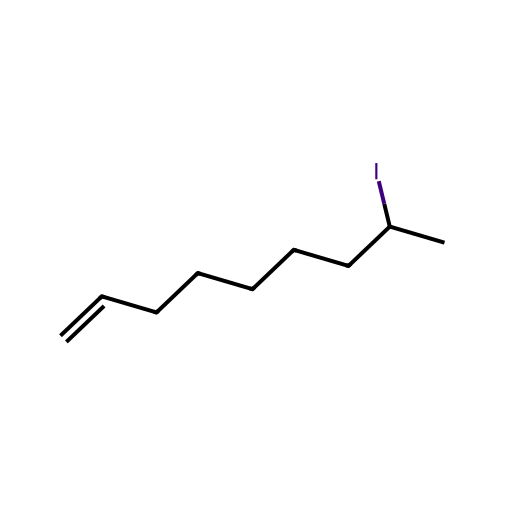 C=CCCCCCC(C)I